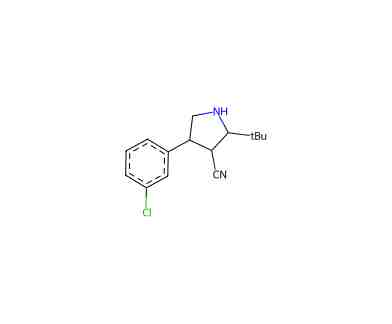 CC(C)(C)C1NCC(c2cccc(Cl)c2)C1C#N